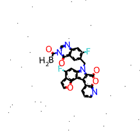 BC(=O)n1cnc2cc(F)c(Cn3c4cc(F)c5ccoc5c4c4c5cccnc5oc(=O)c43)cc2c1=O